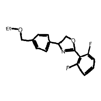 CCOCc1ccc(C2COC(c3c(F)cccc3F)=N2)cc1